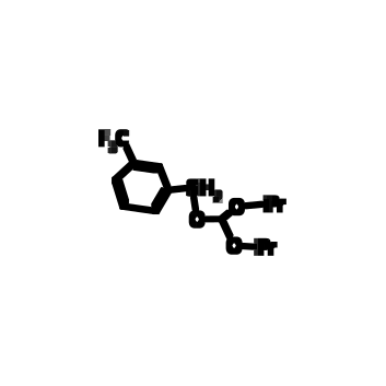 CC(C)OC(O[SiH2]c1cccc(C(F)(F)F)c1)OC(C)C